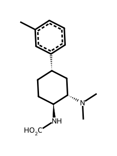 Cc1cccc([C@H]2CC[C@H](NC(=O)O)[C@@H](N(C)C)C2)c1